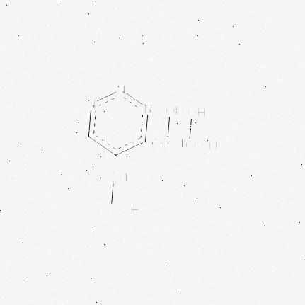 O=C(O)O.O=C(O)O.O=C(O)O.c1cnnnc1